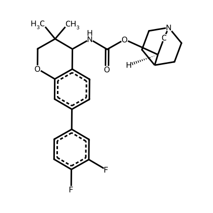 CC1(C)COc2cc(-c3ccc(F)c(F)c3)ccc2C1NC(=O)O[C@H]1CN2CCC1CC2